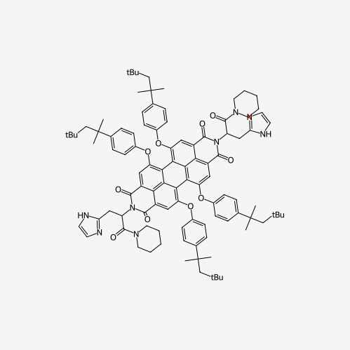 CC(C)(C)CC(C)(C)c1ccc(Oc2cc3c4c(cc(Oc5ccc(C(C)(C)CC(C)(C)C)cc5)c5c6c(Oc7ccc(C(C)(C)CC(C)(C)C)cc7)cc7c8c(cc(Oc9ccc(C(C)(C)CC(C)(C)C)cc9)c(c2c45)c86)C(=O)N(C(Cc2ncc[nH]2)C(=O)N2CCCCC2)C7=O)C(=O)N(C(Cc2ncc[nH]2)C(=O)N2CCCCC2)C3=O)cc1